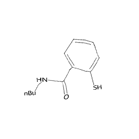 CCCCNC(=O)c1ccccc1S